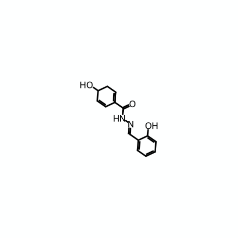 O=C(N/N=C/c1ccccc1O)C1=CCC(O)C=C1